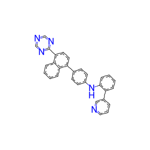 c1cncc(-c2ccccc2Nc2ccc(-c3ccc(-c4ncncn4)c4ccccc34)cc2)c1